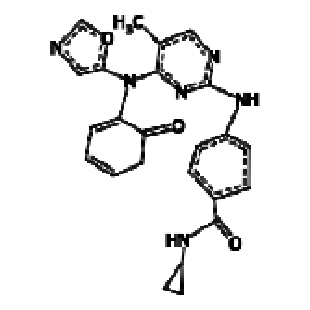 Cc1cnc(Nc2ccc(C(=O)NC3CC3)cc2)nc1N(C1=CC=CCC1=O)c1cnco1